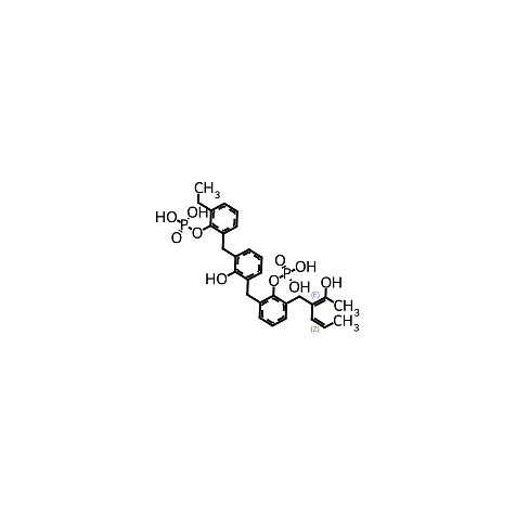 C/C=C\C(Cc1cccc(Cc2cccc(Cc3cccc(CC)c3OP(=O)(O)O)c2O)c1OP(=O)(O)O)=C(/C)O